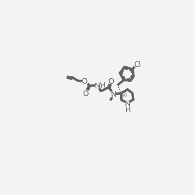 C=CCOC(=O)NCC(=O)N(C)[C@@]1(Cc2ccc(Cl)cc2)CCCNC1